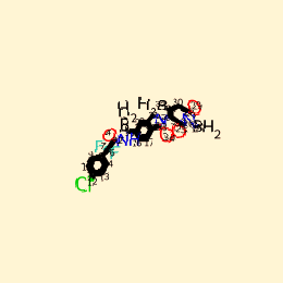 BC(NC(=O)C(F)(F)c1ccc(Cl)cc1)c1ccc2c(c1)CN(C1C(=O)N(B)C(=O)CC1B)C2=O